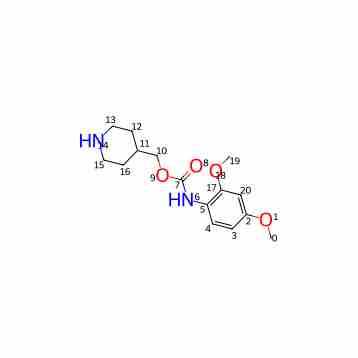 COc1ccc(NC(=O)OCC2CCNCC2)c(OC)c1